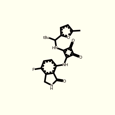 Cc1ccc(C(Nc2c(Nc3ccc(F)c4c3C(=O)NC4)c(=O)c2=O)C(C)(C)C)o1